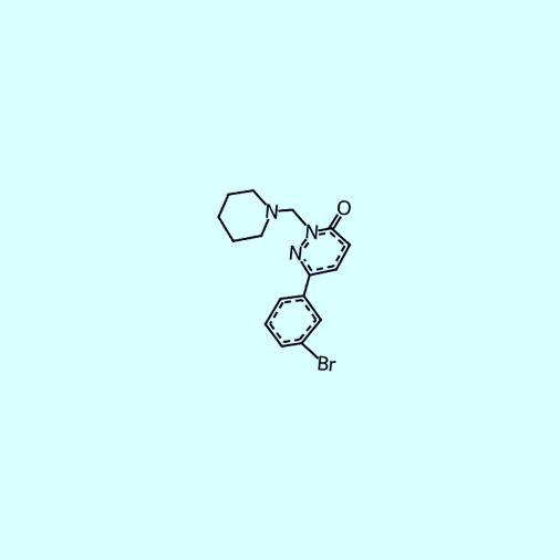 O=c1ccc(-c2cccc(Br)c2)nn1CN1CCCCC1